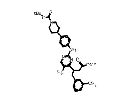 COC(=O)CC(Cc1cccc(C(F)(F)F)c1)c1nc(Nc2ccc(C3CCN(C(=O)OC(C)(C)C)CC3)cc2)ncc1C(F)(F)F